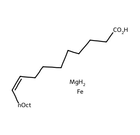 CCCCCCCC/C=C\CCCCCCCC(=O)O.[Fe].[MgH2]